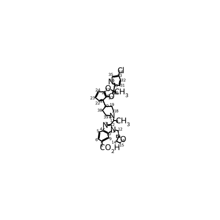 CC(c1nc2ccc(C(=O)O)cc2n1C[C@@H]1CCO1)N1CCC(c2cccc3c2O[C@@](C)(c2ccc(Cl)cn2)O3)CC1